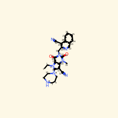 CCn1c(N2CCCNCC2)c(C#N)c2c1c(=O)n(Cc1ncc3ccccc3c1C#N)c(=O)n2C